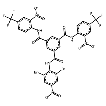 O=C(Nc1ccc(C(F)(F)F)cc1[N+](=O)[O-])c1cc(C(=O)Nc2ccc(C(F)(F)F)cc2[N+](=O)[O-])cc(C(=O)Nc2c(Br)cc([N+](=O)[O-])cc2Br)c1